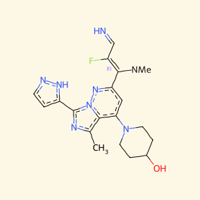 CN/C(=C(/F)C=N)c1cc(N2CCC(O)CC2)c2c(C)nc(-c3ccn[nH]3)n2n1